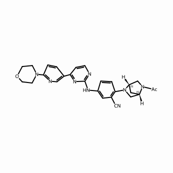 CC(=O)N1C[C@@H]2C[C@H]1CN2c1ccc(Nc2nccc(-c3ccc(N4CCOCC4)nc3)n2)cc1C#N